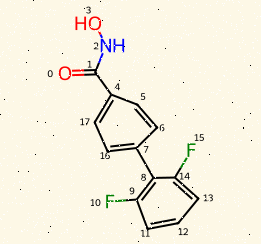 O=C(NO)c1ccc(-c2c(F)cccc2F)cc1